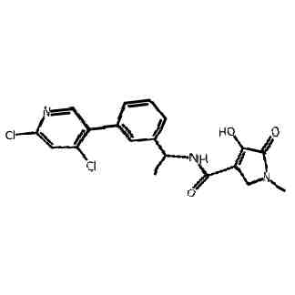 CC(NC(=O)C1=C(O)C(=O)N(C)C1)c1cccc(-c2cnc(Cl)cc2Cl)c1